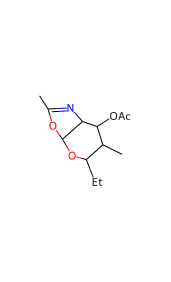 CCC1OC2OC(C)=NC2C(OC(C)=O)C1C